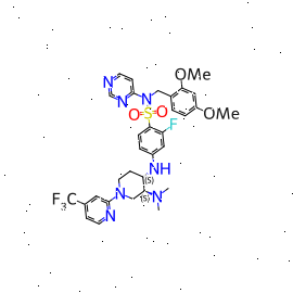 COc1ccc(CN(c2ccncn2)S(=O)(=O)c2ccc(N[C@H]3CCN(c4cc(C(F)(F)F)ccn4)C[C@@H]3N(C)C)cc2F)c(OC)c1